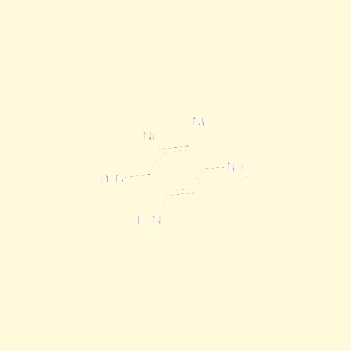 Nc1cc(N)c(N)cc1N.[Ni]